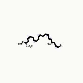 CC/C=C\C[C@H](O)/C=C/C=C\C/C=C\C/C=C\C/C=C\CC(OO)C(=O)O